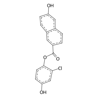 O=C(Oc1ccc(O)cc1Cl)c1ccc2cc(O)ccc2c1